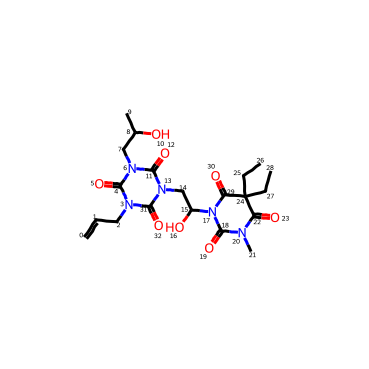 C=CCn1c(=O)n(CC(C)O)c(=O)n(CC(O)N2C(=O)N(C)C(=O)C(CC)(CC)C2=O)c1=O